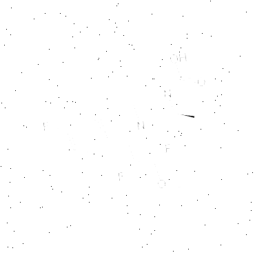 COC(F)C(F)C(c1ccc(F)cc1)N1C[C@H](C)N(C(=O)O)C[C@H]1C